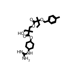 CCC(C)(OCc1ccc(C)cc1)C(=O)OCC(C)(CO)C(=O)OC1CCC(NC(=N)N)CC1